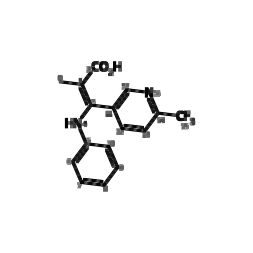 CC(C(=O)O)=C(Nc1ccccc1)c1ccc(C(F)(F)F)nc1